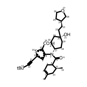 CC1=CCC(C(=O)N(c2cc(C#CC(C)(C)C)sc2C(=O)O)[C@H]2CC[C@](O)(CC[C@H]3CCOC3)CC2)[C@@H](C)C1